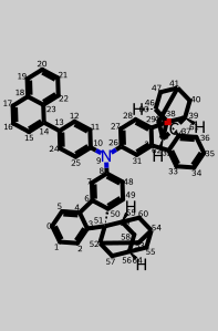 c1ccc2c(c1)-c1cc(N(c3ccc(-c4cccc5ccccc45)cc3)c3ccc4c(c3)-c3ccccc3[C@]43[C@@H]4CC5C[C@@H](C4)C[C@H]3C5)ccc1[C@]21C2CC3C[C@H](C2)C[C@H]1C3